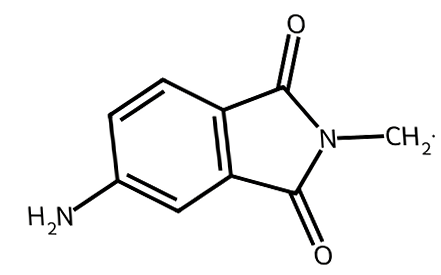 [CH2]N1C(=O)c2ccc(N)cc2C1=O